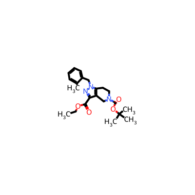 CCOC(=O)c1nn(Cc2ccccc2C)c2c1CN(C(=O)OC(C)(C)C)CC2